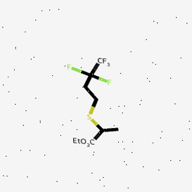 CCOC(=O)C(C)SCCC(F)(F)C(F)(F)F